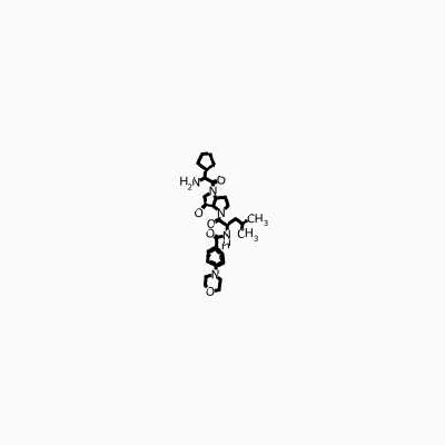 CC(C)CC(NC(=O)c1ccc(N2CCOCC2)cc1)C(=O)N1CCC2C1C(=O)CN2C(=O)C(N)C1CCCC1